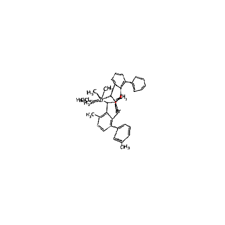 CC1=Cc2c(-c3cccc(C)c3)ccc(C)c2[CH]1[Zr]([CH3])([CH3])(=[SiH2])[CH]1C(C(C)C)=Cc2c(-c3ccccc3)cccc21.Cl.Cl